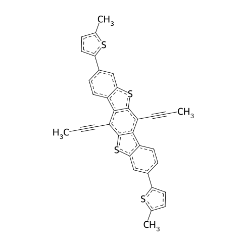 CC#Cc1c2sc3cc(-c4ccc(C)s4)ccc3c2c(C#CC)c2sc3cc(-c4ccc(C)s4)ccc3c12